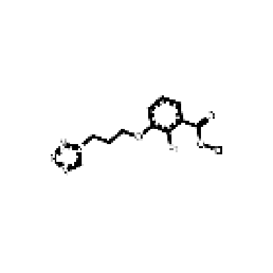 CCc1c(OCCCn2cnnn2)cccc1C(=O)OCl